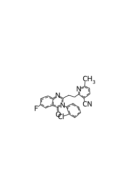 Cc1ccc(C#N)c(CCc2nc3ccc(F)cc3c(=O)n2-c2ccccc2Cl)n1